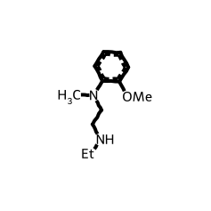 CCNCCN(C)c1ccccc1OC